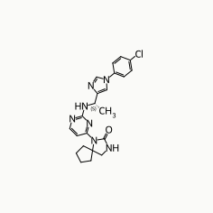 C[C@H](Nc1nccc(N2C(=O)NCC23CCCC3)n1)c1cn(-c2ccc(Cl)cc2)cn1